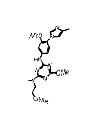 COCCN(C)c1nc(Nc2ccc(-n3cnc(C)c3)c(OC)c2)nc(OC)n1